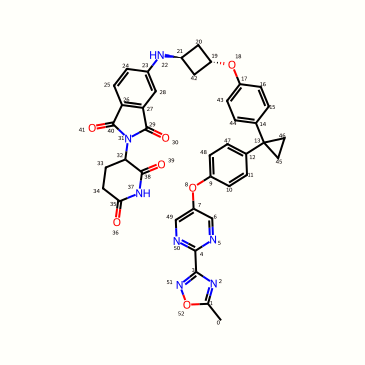 Cc1nc(-c2ncc(Oc3ccc(C4(c5ccc(O[C@H]6C[C@H](Nc7ccc8c(c7)C(=O)N(C7CCC(=O)NC7=O)C8=O)C6)cc5)CC4)cc3)cn2)no1